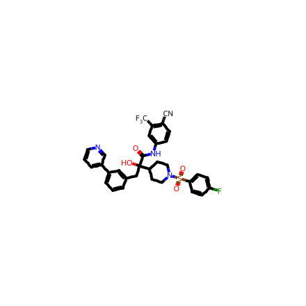 N#Cc1ccc(NC(=O)C(O)(Cc2cccc(-c3cccnc3)c2)C2CCN(S(=O)(=O)c3ccc(F)cc3)CC2)cc1C(F)(F)F